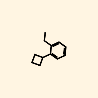 C[CH]c1ccccc1C1CCC1